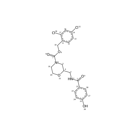 O=C(NCC1CN(C(=O)OCc2ccc(Cl)cc2Cl)CCO1)c1ccc(O)cc1